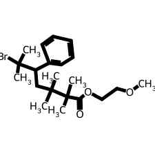 COCCOC(=O)C(C)(C)C(C)(C)CC(c1ccccc1)C(C)(C)Br